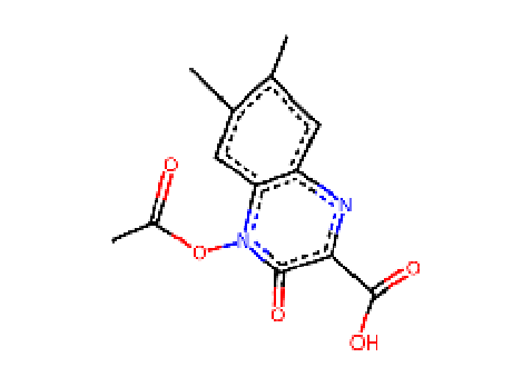 CC(=O)On1c(=O)c(C(=O)O)nc2cc(C)c(C)cc21